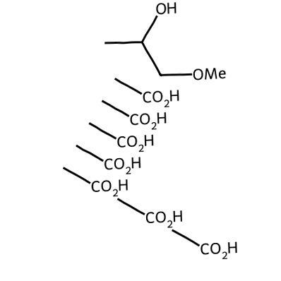 CC(=O)O.CC(=O)O.CC(=O)O.CC(=O)O.CC(=O)O.CC(=O)O.CC(=O)O.COCC(C)O